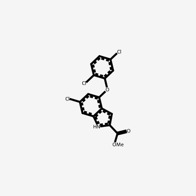 COC(=O)c1cc2c(Oc3cc(Cl)ccc3Cl)cc(Cl)cc2[nH]1